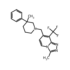 Cc1nnc2c(C(F)(F)F)c(CN3CCCC(C)(c4ccccc4)C3)ccn12